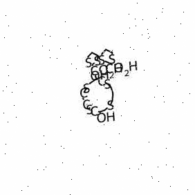 O=C(O)C1SCCCS1.O=C(O)C1SCCCS1.OC1CSCCCSCC(O)CSCCCSC1